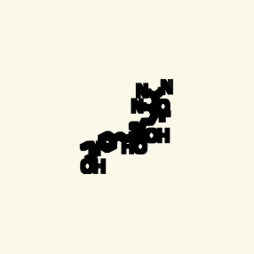 CCN(CCO)c1ccc(/C=C/c2sc(/C=C/C3=C(C#N)C(=C(C#N)C#N)OC3(C)C)c(O)c2O)cc1